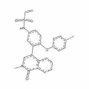 C=CS(=O)(=O)Nc1ccc(Oc2ccc(C)cc2)c(-c2cn(C)c(=O)c3ccccc23)c1